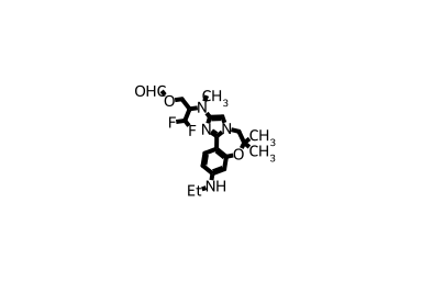 CCNc1ccc2c(c1)OC(C)(C)Cn1cc(N(C)C(COC=O)C(F)F)nc1-2